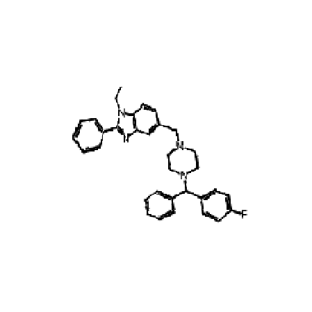 CCn1c(-c2ccccc2)nc2cc(CN3CCN(C(c4ccccc4)c4ccc(F)cc4)CC3)ccc21